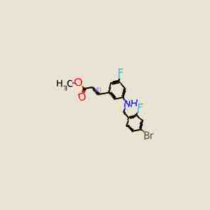 COC(=O)/C=C/c1cc(F)cc(NCc2ccc(Br)cc2F)c1